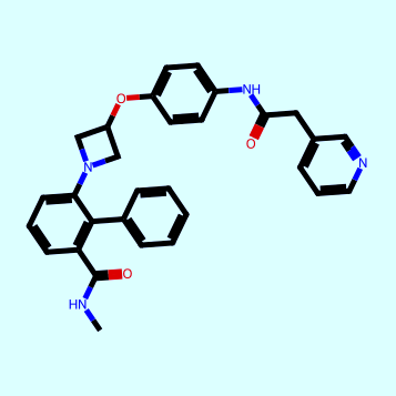 CNC(=O)c1cccc(N2CC(Oc3ccc(NC(=O)Cc4cccnc4)cc3)C2)c1-c1ccccc1